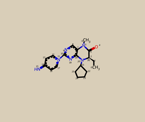 CC[C@@H]1C(=O)N(C)c2cnc(-n3ccc(=N)cc3)nc2N1C1CCCC1